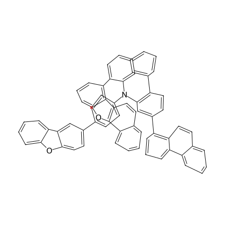 c1ccc(-c2ccc(-c3cccc4c3ccc3ccccc34)cc2N(c2ccc(-c3ccc4oc5ccccc5c4c3)cc2)c2ccccc2-c2cccc3oc4c5ccccc5ccc4c23)cc1